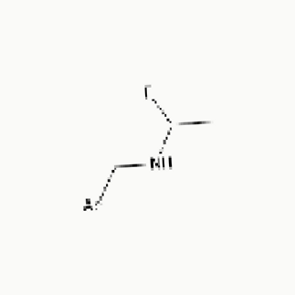 CC(=O)CNC(C)F